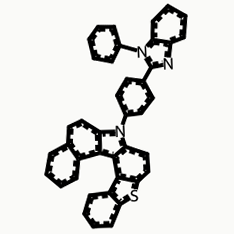 c1ccc(-n2c(-c3ccc(-n4c5ccc6ccccc6c5c5c6c(ccc54)sc4ccccc46)cc3)nc3ccccc32)cc1